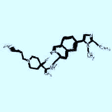 C=C(Nc1cc2cc(-c3cnc(C)n3C)ccc2cn1)C1(F)CCN(CCCC(C)C)CC1